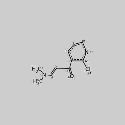 CN(C)C=CC(=O)c1cccnc1Cl